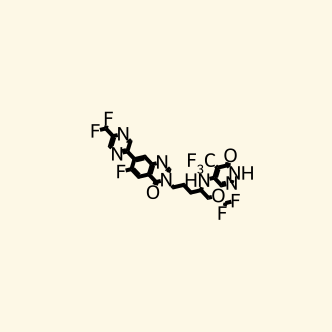 O=c1[nH]ncc(NC(CCCn2cnc3cc(-c4cnc(C(F)F)cn4)c(F)cc3c2=O)COC(F)F)c1C(F)(F)F